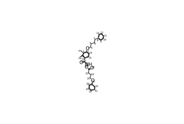 Cc1c(OCCCCc2ccccc2)ccc(C(=O)NOC(=O)CCCOc2ccccc2)c1C